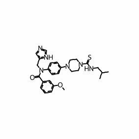 COc1cccc(C(=O)N(Cc2cnc[nH]2)c2ccc(N3CCN(C(=S)NCC(C)C)CC3)cc2)c1